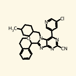 CC1CCC(Cn2c(C3OCCc4ccccc43)nc3nc(C#N)nc(-c4cncc(Cl)c4)c32)CC1